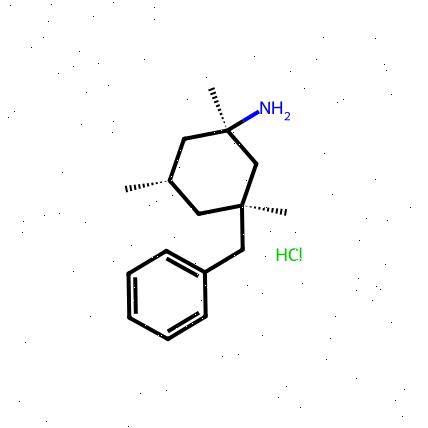 C[C@@H]1C[C@@](C)(N)C[C@@](C)(Cc2ccccc2)C1.Cl